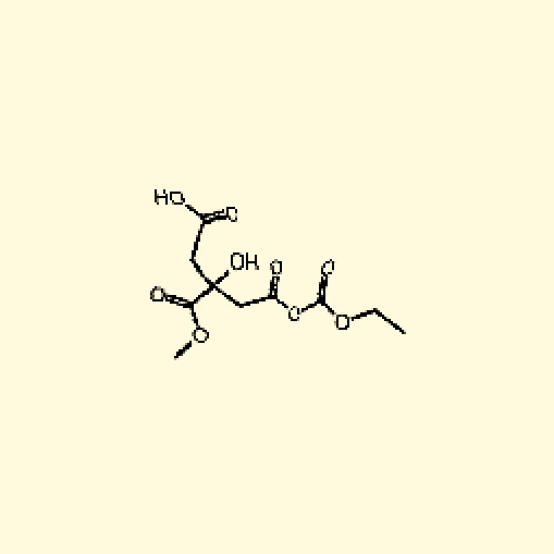 CCOC(=O)OC(=O)CC(O)(CC(=O)O)C(=O)OC